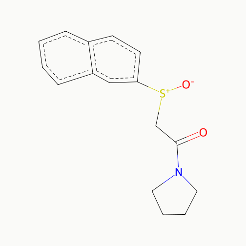 O=C(C[S+]([O-])c1ccc2ccccc2c1)N1CCCC1